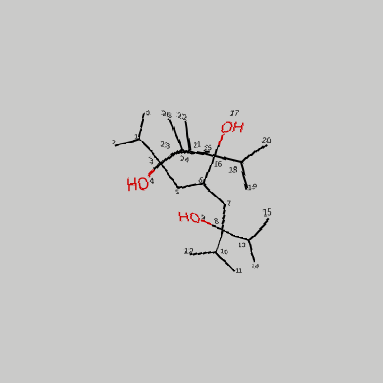 CC(C)C(O)(CC(CC(O)(C(C)C)C(C)C)C(O)(C(C)C)C(C)C)C(C)C